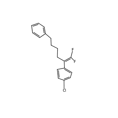 FC(F)=C(CCCCc1ccccc1)c1ccc(Cl)cc1